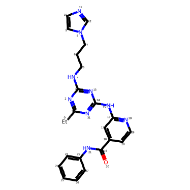 CCc1nc(NCCCn2ccnc2)nc(Nc2cc(C(=O)Nc3ccccc3)ccn2)n1